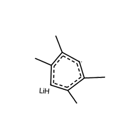 Cc1[c]c(C)c(C)cc1C.[LiH]